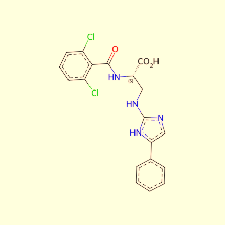 O=C(N[C@@H](CNc1ncc(-c2ccccc2)[nH]1)C(=O)O)c1c(Cl)cccc1Cl